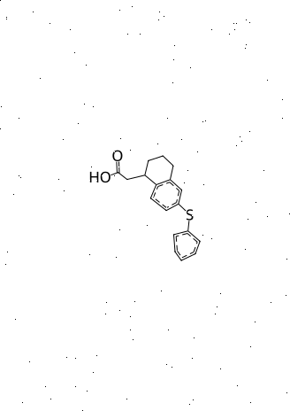 O=C(O)CC1CCCc2cc(Sc3ccccc3)ccc21